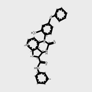 Cc1cc(Oc2ccccc2)ccc1N1C(=O)NC2c3c1ccnc3SC2C(=O)Nc1ccccc1